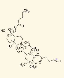 C=CCCC(=O)OC[C@]1(C)C2CC[C@]3(C)C(CC=C4C5CC(C)(C)[C@@H](O)[C@H](OC(=O)CC/C=C/I)[C@]5(CO)[C@H](O)C[C@]43C)[C@@]2(C)CC[C@@H]1O